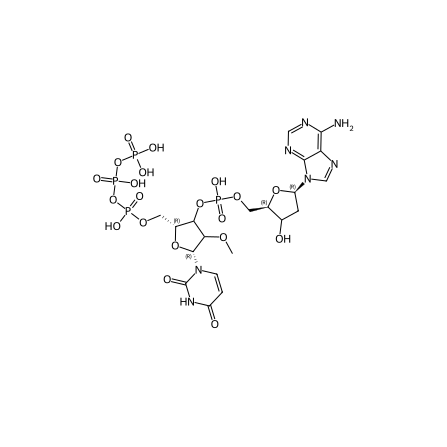 COC1C(OP(=O)(O)OC[C@H]2O[C@@H](n3cnc4c(N)ncnc43)CC2O)[C@@H](COP(=O)(O)OP(=O)(O)OP(=O)(O)O)O[C@H]1n1ccc(=O)[nH]c1=O